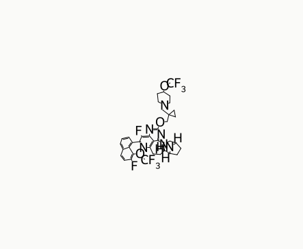 Fc1ccc2cccc(-c3nc4c5c(nc(OCC6(CN7CCC(OC(F)(F)F)CC7)CC6)nc5c3F)N3C[C@H]5CC[C@H](N5)[C@H]3CC4)c2c1OC(F)(F)F